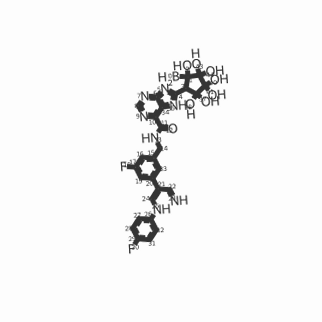 BC1(O)C(c2nc3ncnc(C(=O)NCc4cc(F)cc(/C(C=N)=C/Nc5ccc(F)cc5)c4)c3[nH]2)C(O)(O)C(O)(O)C1(O)O